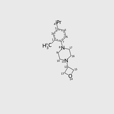 Cc1cc(C(C)C)ccc1N1CCN(C2COC2)CC1